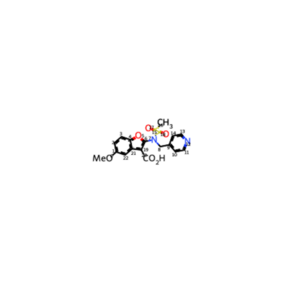 COc1ccc2oc(N(Cc3ccncc3)S(C)(=O)=O)c(C(=O)O)c2c1